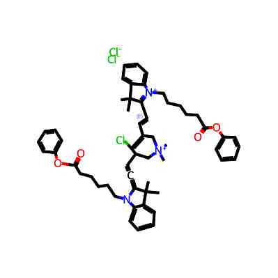 CC1(C)C(=C=CC2C[N+](C)(C)CC(/C=C/C3=[N+](CCCCCC(=O)Oc4ccccc4)c4ccccc4C3(C)C)=C2Cl)N(CCCCCC(=O)Oc2ccccc2)c2ccccc21.[Cl-].[Cl-]